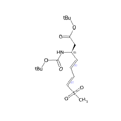 CC(C)(C)OC(=O)C[C@@H](/C=C/C=C/S(C)(=O)=O)NC(=O)OC(C)(C)C